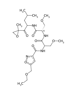 CCOCc1cc(C(=O)NC(COC)C(=O)N[C@@H](COC)C(=O)NC(CC(C)C)C(=O)C2(C)CO2)no1